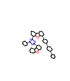 c1ccc(-c2ccc(-c3ccc(-c4cccc5c4oc4c(-c6nc(-c7ccccc7)nc(-c7cccc8oc9ccccc9c78)n6)cccc45)cc3)cc2)cc1